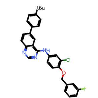 CC(C)(C)c1ccc(-c2ccc3ncnc(Nc4ccc(OCc5cccc(F)c5)c(Cl)c4)c3c2)cc1